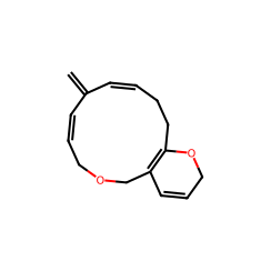 C=C1/C=C\CCC2=C(C=CCO2)COC/C=C\1